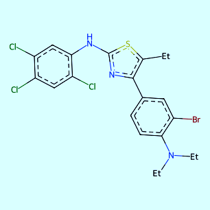 CCc1sc(Nc2cc(Cl)c(Cl)cc2Cl)nc1-c1ccc(N(CC)CC)c(Br)c1